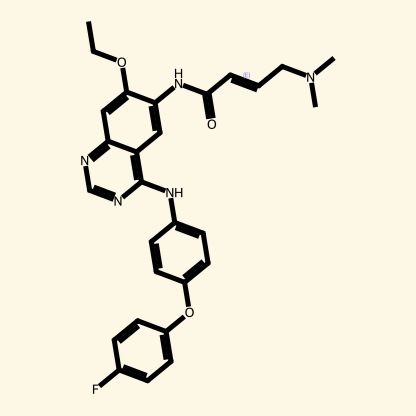 CCOc1cc2ncnc(Nc3ccc(Oc4ccc(F)cc4)cc3)c2cc1NC(=O)/C=C/CN(C)C